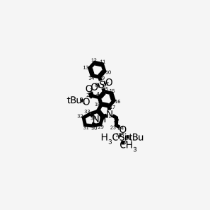 CC(C)(C)OC(=O)c1c(S(=O)(=O)c2ccccc2)ccc2c1c1c(n2CCO[Si](C)(C)C(C)(C)C)CC2CCC1N2